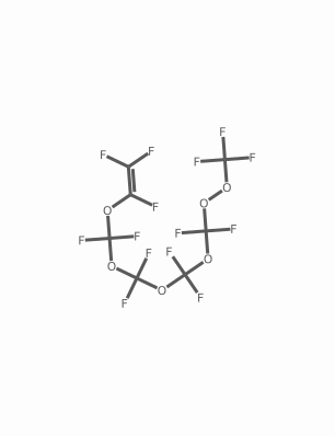 FC(F)=C(F)OC(F)(F)OC(F)(F)OC(F)(F)OC(F)(F)OOC(F)(F)F